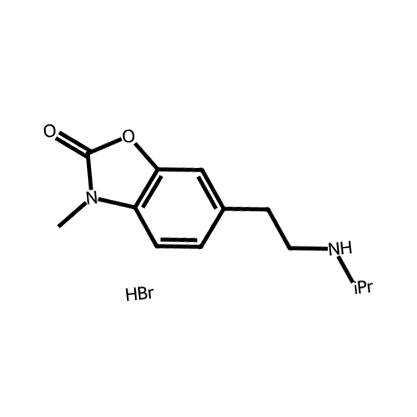 Br.CC(C)NCCc1ccc2c(c1)oc(=O)n2C